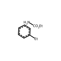 CCOC(N)=O.CCc1ccccc1